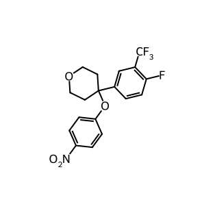 O=[N+]([O-])c1ccc(OC2(c3ccc(F)c(C(F)(F)F)c3)CCOCC2)cc1